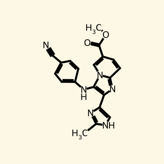 COC(=O)c1ccc2nc(-c3c[nH]c(C)n3)c(Nc3ccc(C#N)cc3)n2c1